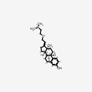 CN(C)CCOC/C=C1\CC[C@H]2[C@@H]3CCc4cc(O)ccc4[C@H]3CC[C@]12C